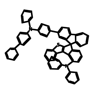 c1ccc(-c2ccc(N(c3ccccc3)c3ccc(-c4ccc5c(c4)C4(c6ccccc6-5)c5cccc(N(c6ccccc6)c6ccccc6)c5-c5c4sc4ccccc54)cc3)cc2)cc1